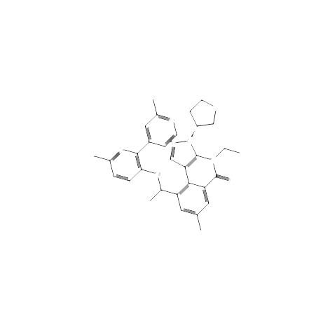 CCn1c(=O)c2cc(C)cc(C(C)Nc3ccc(Cl)nc3-c3ccnc(C)c3)c2c2cnn([C@H]3CCOC3)c21